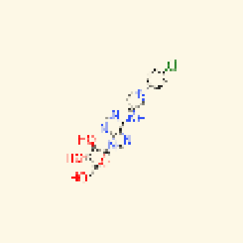 OC[C@H]1O[C@@H](n2cnc3c(N[C@H]4CCN(c5ccc(Cl)cc5)C4)ncnc32)[C@H](O)[C@@H]1O